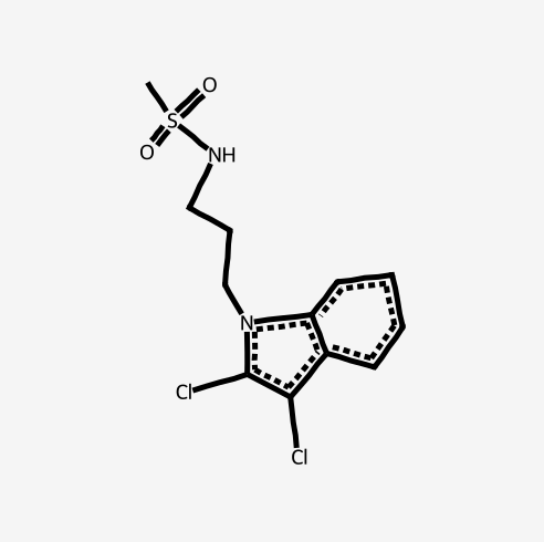 CS(=O)(=O)NCCCn1c(Cl)c(Cl)c2ccccc21